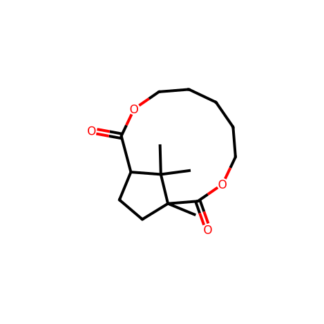 CC12CCC(C(=O)OCCCCCOC1=O)C2(C)C